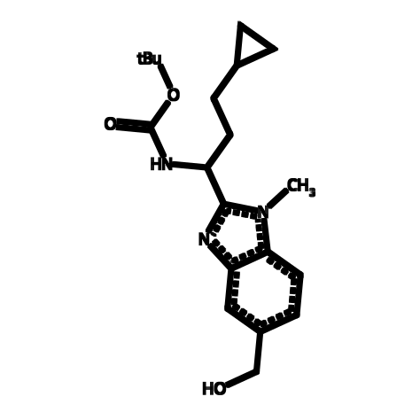 Cn1c(C(CCC2CC2)NC(=O)OC(C)(C)C)nc2cc(CO)ccc21